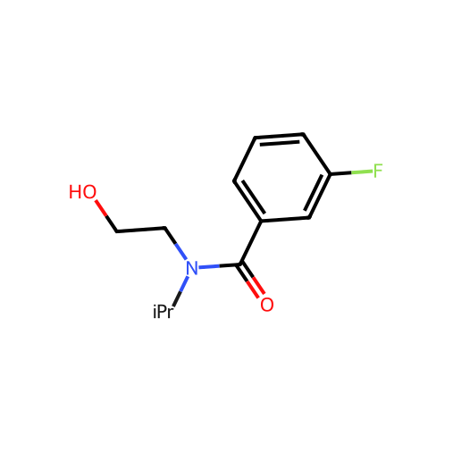 CC(C)N(CCO)C(=O)c1cccc(F)c1